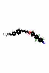 CCCC1CCC(c2ccc(CCCCCC(=O)Oc3ccc(-c4cc(F)c(-c5cc(F)c(C#N)c(F)c5)c(F)c4)cc3)cc2)CC1